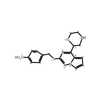 O=C(O)c1ccc(CSc2nc(C3CNCCO3)c3cccn3n2)cc1